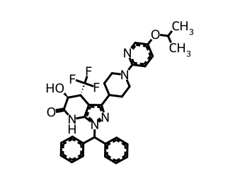 CC(C)Oc1ccc(N2CCC(c3nn(C(c4ccccc4)c4ccccc4)c4c3[C@@H](C(F)(F)F)[C@H](O)C(=O)N4)CC2)nc1